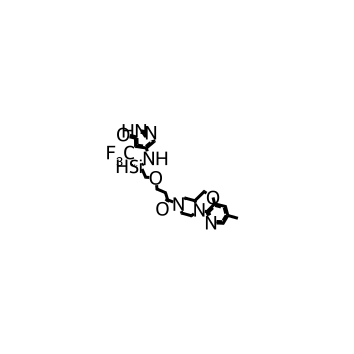 Cc1cnc2c(c1)OCC1CN(C(=O)CCOC[Si@H](C)Nc3cn[nH]c(=O)c3C(F)(F)F)CCN21